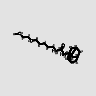 COCCOCCCCCNC(=O)NC12CC3CC(CC(C3)C1)C2